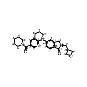 O=C(c1cnc2c(c1)CCCN2c1ccc2c(c1)CN(CC1COC1)C2=O)N1CCCCC1